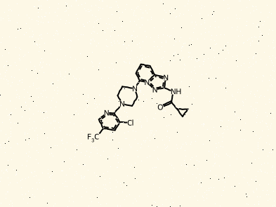 O=C(Nc1nc2cccc(N3CCN(c4ncc(C(F)(F)F)cc4Cl)CC3)n2n1)C1CC1